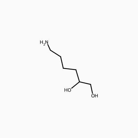 NCCCCC(O)CO